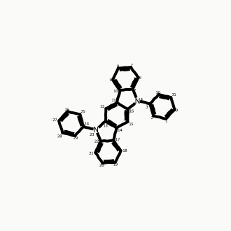 c1ccc(-n2c3ccccc3c3cc4c(cc32)c2ccccc2n4-c2ccccc2)cc1